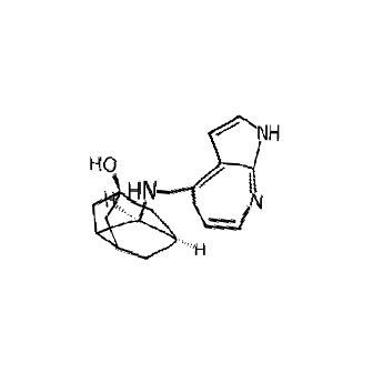 O[C@]12CC3C[C@H](C1)[C@H](Nc1ccnc4[nH]ccc14)C3C2